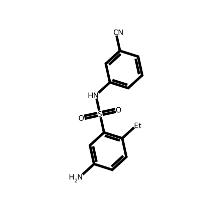 CCc1ccc(N)cc1S(=O)(=O)Nc1cccc(C#N)c1